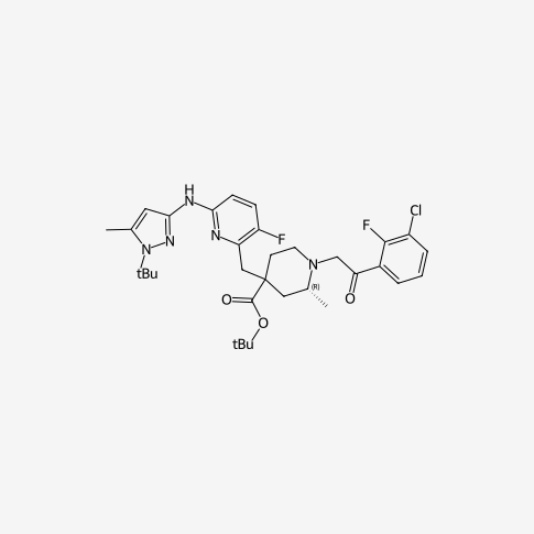 Cc1cc(Nc2ccc(F)c(CC3(C(=O)OC(C)(C)C)CCN(CC(=O)c4cccc(Cl)c4F)[C@H](C)C3)n2)nn1C(C)(C)C